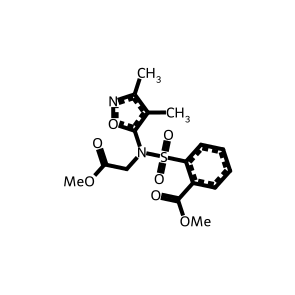 COC(=O)CN(c1onc(C)c1C)S(=O)(=O)c1ccccc1C(=O)OC